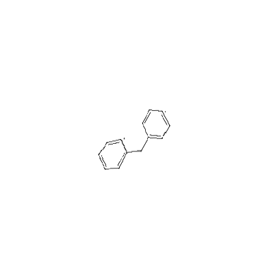 [c]1ccc(Cc2[c]cccc2)cc1